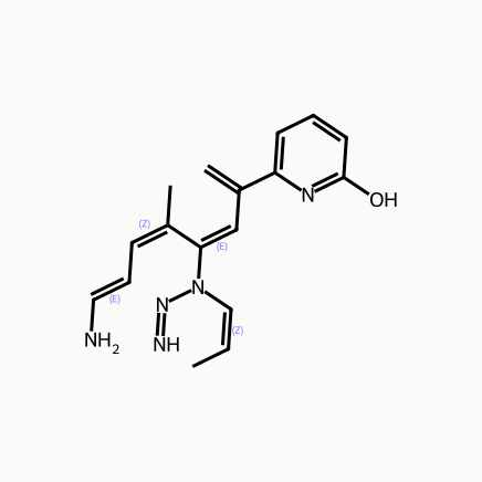 C=C(\C=C(/C(C)=C\C=C\N)N(/C=C\C)N=N)c1cccc(O)n1